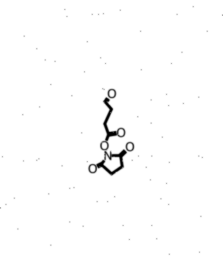 O=CCCC(=O)ON1C(=O)CCC1=O